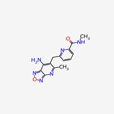 CNC(=O)c1cccc(Cc2c(C)nc3nonc3c2N)n1